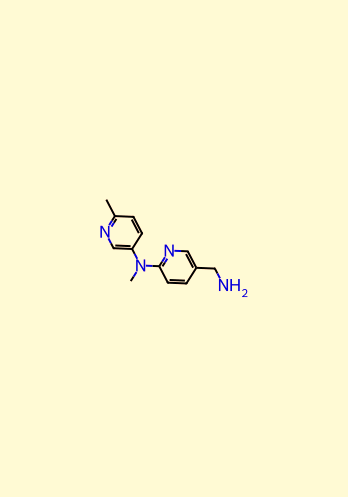 Cc1ccc(N(C)c2ccc(CN)cn2)cn1